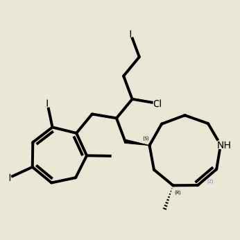 CC1=C(CC(C[C@H]2CCCN/C=C\[C@H](C)C2)C(Cl)CCI)C(I)=CC(I)=CC1